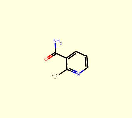 NC(=O)c1cccnc1C(F)(F)F